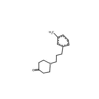 [CH2]c1cccc(CCCN2CCC(=O)CC2)c1